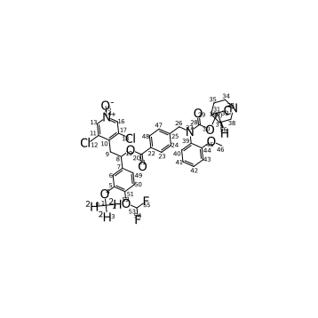 [2H]C([2H])([2H])Oc1cc(C(Cc2c(Cl)c[n+]([O-])cc2Cl)OC(=O)c2ccc(CN(C(=O)O[C@H]3CN4CCC3CC4)c3ccccc3OC)cc2)ccc1OC(F)F